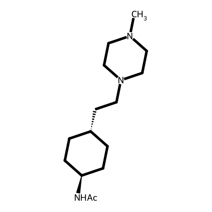 CC(=O)N[C@H]1CC[C@H](CCN2CCN(C)CC2)CC1